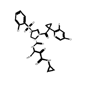 CCCC(NC(=O)[C@@H]1C[C@@H](S(=O)(=O)c2ccccc2Cl)CN1C(=O)C1(c2ncc(Cl)cc2F)CC1)C(=O)C(=O)NC1CC1